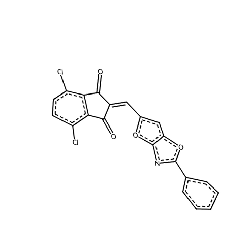 O=C1C(=Cc2cc3oc(-c4ccccc4)nc3o2)C(=O)c2c(Cl)ccc(Cl)c21